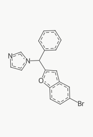 Brc1ccc2oc(C(c3ccccc3)n3ccnc3)cc2c1